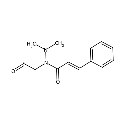 CN(C)N(C[C]=O)C(=O)C=Cc1ccccc1